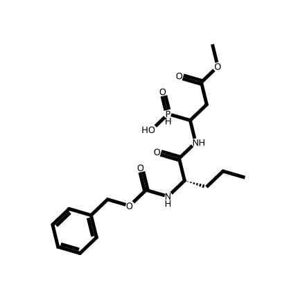 CCC[C@H](NC(=O)OCc1ccccc1)C(=O)NC(CC(=O)OC)[PH](=O)O